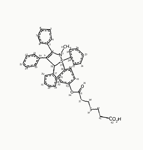 CN1C(c2ccccc2)=C(c2ccccc2)C(c2ccccc2)S1(c1ccccc1)c1ccc(OC(=O)CCSCCC(=O)O)cc1